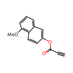 C#CC(=O)Oc1ccc2c(OC)cccc2c1